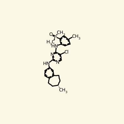 Cc1ccc(Nc2nc(Nc3ccc4c(c3)CC[C@H](C)CC4)ncc2Cl)c(P(C)(C)=O)c1